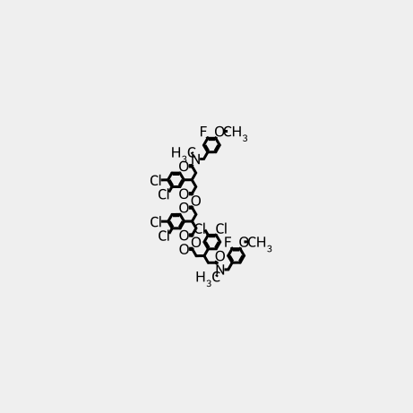 COc1ccc(CN(C)C(=O)CC(CC(=O)OC(=O)CC(CC(=O)OC(=O)CC(CC(=O)N(C)Cc2ccc(OC)c(F)c2)c2ccc(Cl)c(Cl)c2)c2ccc(Cl)c(Cl)c2)c2ccc(Cl)c(Cl)c2)cc1F